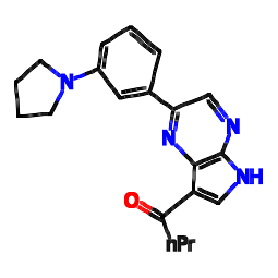 CCCC(=O)c1c[nH]c2ncc(-c3cccc(N4CCCC4)c3)nc12